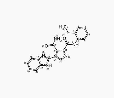 CCc1ccccc1NC(=O)c1ncn(-c2nc3ccccc3[nH]2)c1C(N)=O